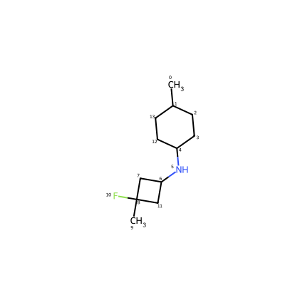 CC1CCC(NC2CC(C)(F)C2)CC1